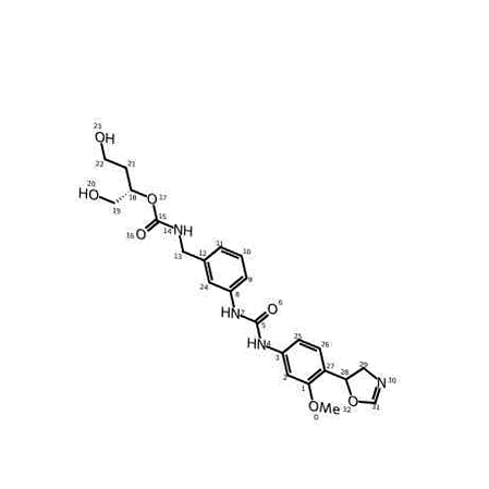 COc1cc(NC(=O)Nc2cccc(CNC(=O)O[C@H](CO)CCO)c2)ccc1C1CN=CO1